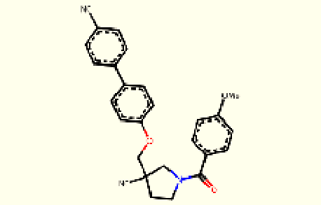 COc1ccc(C(=O)N2CCC(C#N)(COc3ccc(-c4ccc(C#N)cc4)cc3)C2)cc1